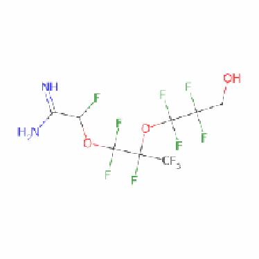 N=C(N)C(F)OC(F)(F)C(F)(OC(F)(F)C(F)(F)CO)C(F)(F)F